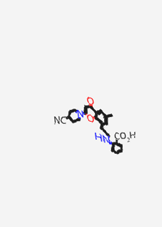 Cc1cc(CCNc2ccccc2C(=O)O)c2oc(N3CCC(C#N)CC3)cc(=O)c2c1